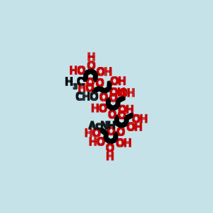 CC(=O)NC1C(OC2C(O)C(CO)OC(OC(C(O)CO)C(OC3OC(C)C(O)C(O)C3O)C(O)C=O)C2O)OC(CO)C(O)C1OC1OC(CO)C(O)C(O)C1O